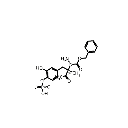 CC(=O)[C@](C)(Cc1ccc(OP(=O)(O)O)c(O)c1)N(N)C(=O)OCc1ccccc1